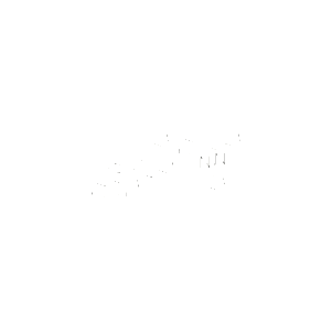 c1ccc(-c2cc(-c3ccc(-c4ccccc4)c(-c4ccc(-c5ccc6c(c5)C5(c7cc8ccccc8cc7O6)c6ccccc6-c6ccccc65)cc4)c3)nc(-c3ccccc3)n2)cc1